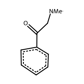 C[N]CC(=O)c1ccccc1